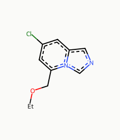 CCOCc1cc(Cl)cc2cncn12